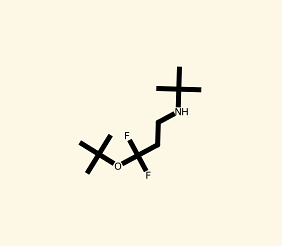 CC(C)(C)NCCC(F)(F)OC(C)(C)C